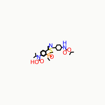 CCP(=O)(CC)c1cc(N(C(=O)O)C(C)C)ccc1-c1cnc(C2CCC(NC(=O)OC(C)C)CC2)s1